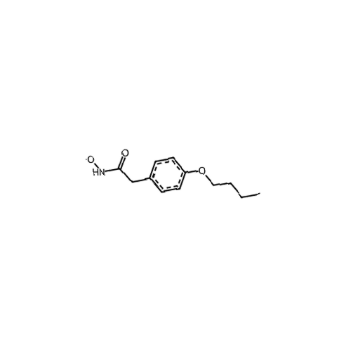 CCCCOc1ccc(CC(=O)N[O])cc1